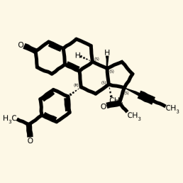 CC#C[C@]1(C(C)=O)CC[C@H]2[C@@H]3CCC4=CC(=O)CCC4=C3[C@@H](c3ccc(C(C)=O)cc3)C[C@@]21C